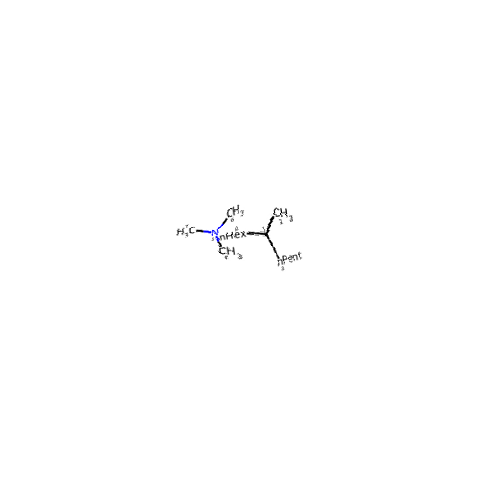 CCCCCCC(C)CCCCC.CN(C)C